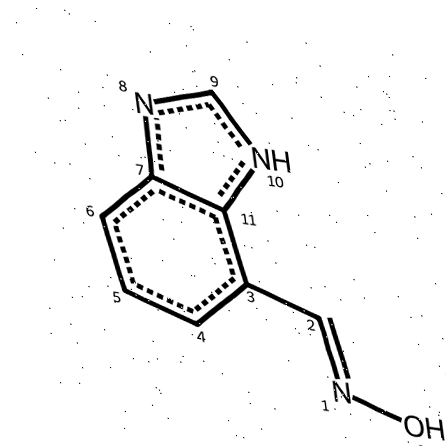 O/N=C/c1cccc2nc[nH]c12